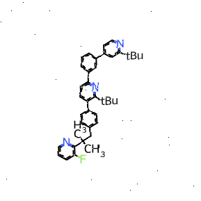 CC(C)(C)c1cc(-c2cccc(-c3ccc(-c4ccc(CC(C)(C)c5ncccc5F)cc4)c(C(C)(C)C)n3)c2)ccn1